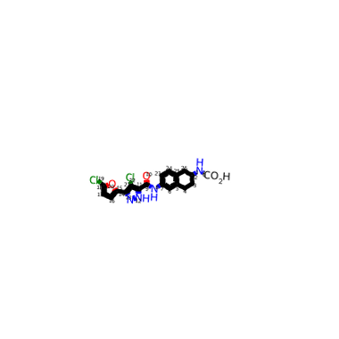 O=C(O)NC1CCc2cc(NC(=O)c3[nH]nc(-c4ccc(Cl)o4)c3Cl)ccc2C1